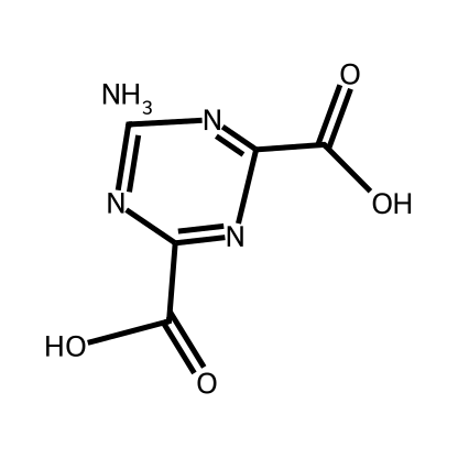 N.O=C(O)c1ncnc(C(=O)O)n1